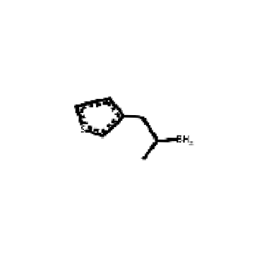 BC(C)Cc1ccsc1